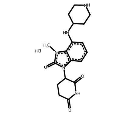 Cl.Cn1c(=O)n(C2CCC(=O)NC2=O)c2cccc(NC3CCNCC3)c21